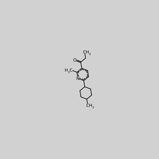 CCC(=O)c1ccc(C2CCC(C)CC2)nc1C